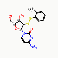 Nc1ccn([C@@H]2O[C@H](CO)[C@@H](O)C2SSc2ccccc2[N+](=O)[O-])c(=O)n1